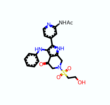 CC(=O)Nc1cc(-c2[nH]c3c(c2Nc2ccccc2)C(=O)CN(S(=O)(=O)CCO)C3)ccn1